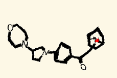 O=C(c1ccc(N2CCC(N3CCOCC3)C2)cc1)N1CC2CCC(CC2)C1